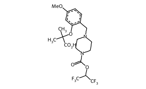 COc1ccc(CN2CCN(C(=O)OC(C(F)(F)F)C(F)(F)F)CC2)c(OC(C)(C)C(=O)O)c1